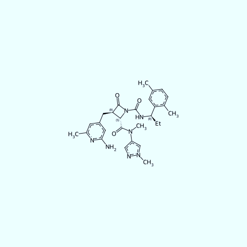 CC[C@@H](NC(=O)N1C(=O)[C@H](Cc2cc(C)nc(N)c2)[C@H]1C(=O)N(C)c1cnn(C)c1)c1cc(C)ccc1C